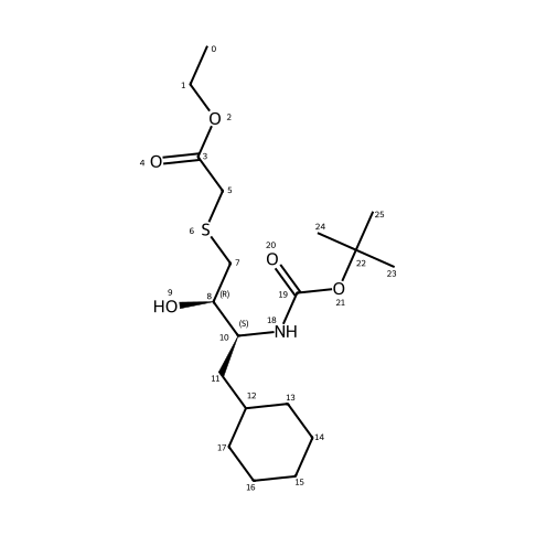 CCOC(=O)CSC[C@H](O)[C@H](CC1CCCCC1)NC(=O)OC(C)(C)C